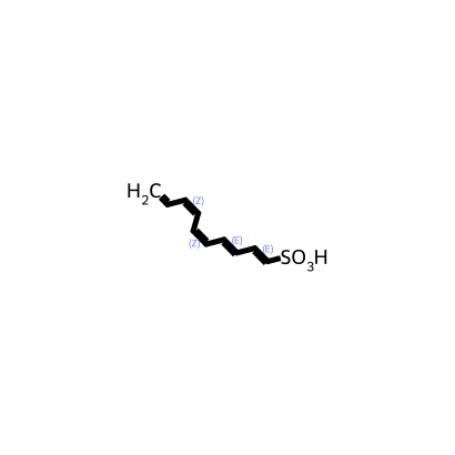 C=C\C=C/C=C\C=C\C=C\S(=O)(=O)O